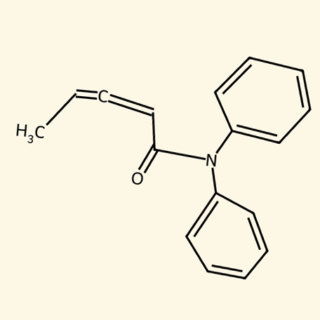 CC=C=CC(=O)N(c1ccccc1)c1ccccc1